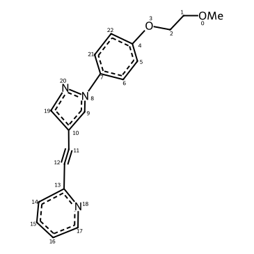 COCCOc1ccc(-n2cc(C#Cc3ccccn3)cn2)cc1